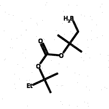 BCC(C)(C)OC(=O)OC(C)(C)CC